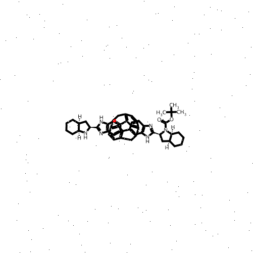 CC(C)(C)OC(=O)N1[C@H](c2nc3ccc(-c4cc5ccc4CCc4ccc(c(-c6ccc7nc([C@@H]8C[C@@H]9CCCC[C@@H]9N8)[nH]c7c6)c4)CC5)cc3[nH]2)C[C@@H]2CCCC[C@@H]21